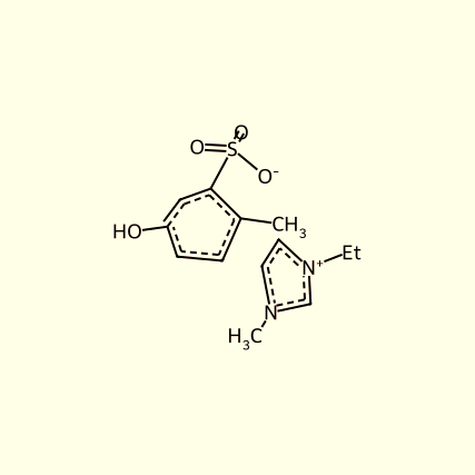 CC[n+]1ccn(C)c1.Cc1ccc(O)cc1S(=O)(=O)[O-]